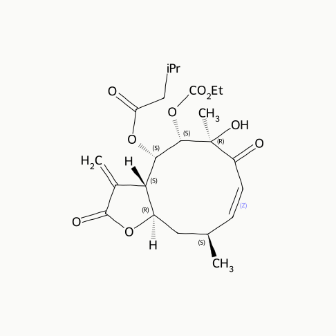 C=C1C(=O)O[C@@H]2C[C@H](C)/C=C\C(=O)[C@](C)(O)[C@@H](OC(=O)OCC)[C@@H](OC(=O)CC(C)C)[C@@H]12